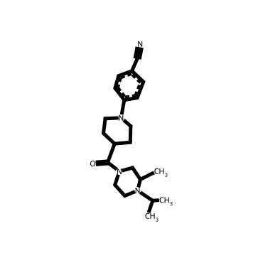 CC(C)N1CCN(C(=O)C2CCN(c3ccc(C#N)cc3)CC2)CC1C